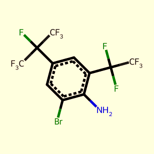 Nc1c(Br)cc(C(F)(C(F)(F)F)C(F)(F)F)cc1C(F)(F)C(F)(F)F